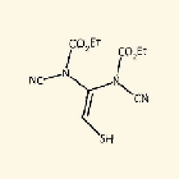 CCOC(=O)N(C#N)C(=CS)N(C#N)C(=O)OCC